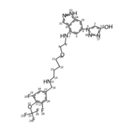 Oc1cn(-c2cc(NCCOCCCCNCc3cc(F)c(OC(F)(F)F)c(F)c3)c3cn[nH]c3c2)nn1